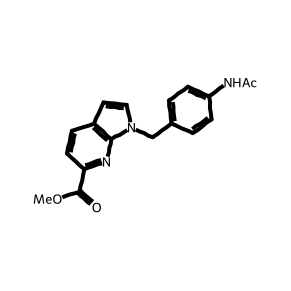 COC(=O)c1ccc2ccn(Cc3ccc(NC(C)=O)cc3)c2n1